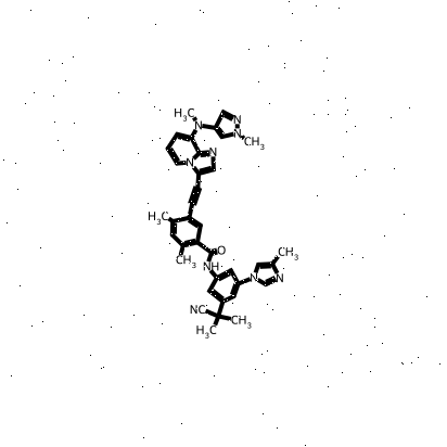 Cc1cn(-c2cc(NC(=O)c3cc(C#Cc4cnc5c(N(C)c6cnn(C)c6)cccn45)c(C)cc3C)cc(C(C)(C)C#N)c2)cn1